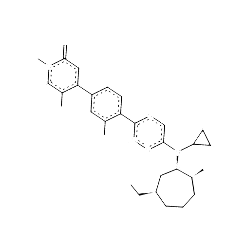 CC[C@@H]1CCC[C@H](F)[C@H](N(c2cnc(-c3ccc(-c4cc(=O)n(C)cc4F)cc3O)nn2)C2CC2)C1